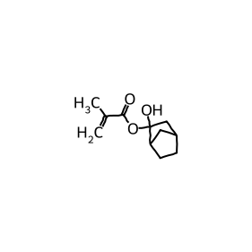 C=C(C)C(=O)OC1(O)CC2CCC1C2